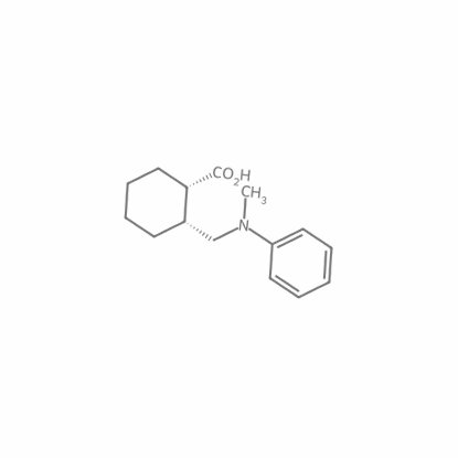 CN(C[C@@H]1CCCC[C@@H]1C(=O)O)c1ccccc1